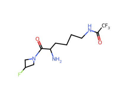 NC(CCCCNC(=O)C(F)(F)F)C(=O)N1CC(F)C1